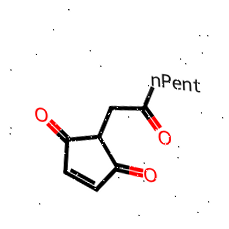 CCCCCC(=O)CC1C(=O)C=CC1=O